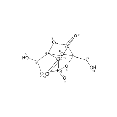 O=C1OC23OP(=O)(OC2O)OC1(CO)OC3=O